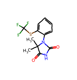 CC1(C)C(=O)NC(=O)N1c1ccccc1SC(F)(F)F